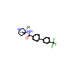 O=C(N[C@@H]1CN2CCC1CC2)c1ccc(-c2ccc(C(F)(F)F)cc2)cc1